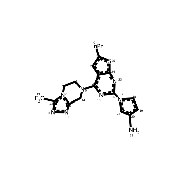 CCCc1cc2c(N3CCn4c(nnc4C(F)(F)F)C3)nc(-n3ccc(N)c3)nc2s1